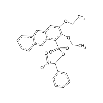 CCOc1cc2cc3ccccc3cc2c(S(=O)(=O)OC(c2ccccc2)[N+](=O)[O-])c1OCC